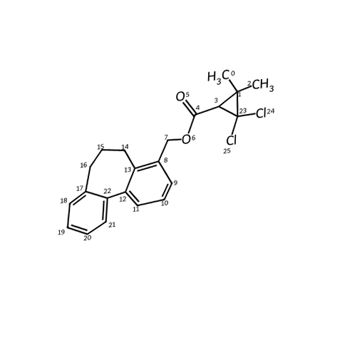 CC1(C)C(C(=O)OCc2cccc3c2CCCc2ccccc2-3)C1(Cl)Cl